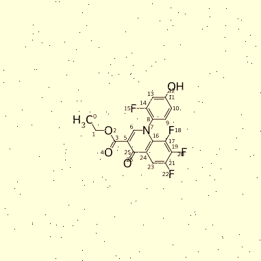 CCOC(=O)c1cn(-c2ccc(O)cc2F)c2c(F)c(F)c(F)cc2c1=O